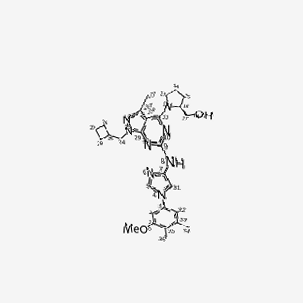 COc1cc(-n2cnc(Nc3nc(N4CCC[C@H]4CO)c4c(C)nn(CC5CCC5)c4n3)c2)cc(C)c1C